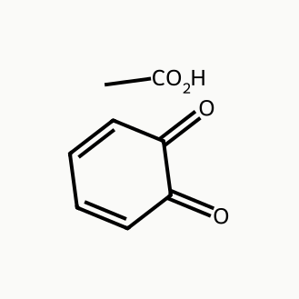 CC(=O)O.O=C1C=CC=CC1=O